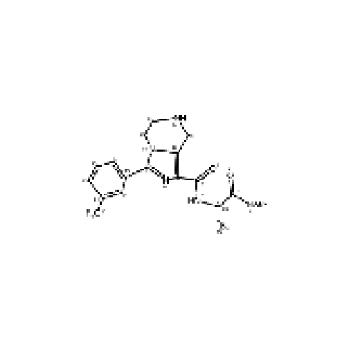 CNC(=O)[C@@H](NC(=O)c1nc(-c2cccc(C(F)(F)F)c2)n2c1CNCC2)C(C)(C)C